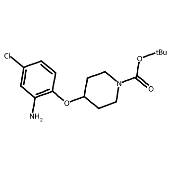 CC(C)(C)OC(=O)N1CCC(Oc2ccc(Cl)cc2N)CC1